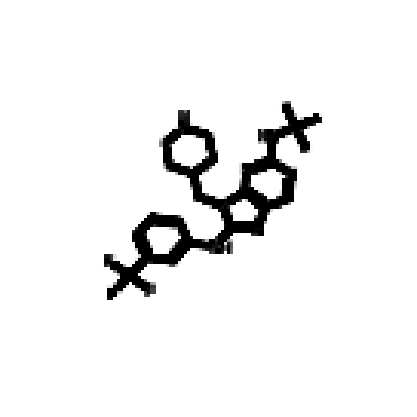 CC(C)(C)Nc1ncc2nc(Nc3cccc(C(F)(F)F)c3)n(CC3CCNCC3)c2n1